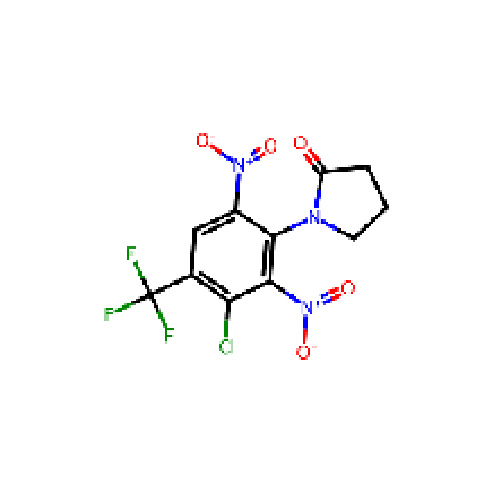 O=C1CCCN1c1c([N+](=O)[O-])cc(C(F)(F)F)c(Cl)c1[N+](=O)[O-]